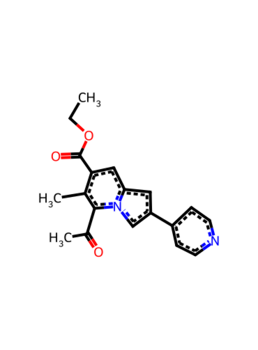 CCOC(=O)c1cc2cc(-c3ccncc3)cn2c(C(C)=O)c1C